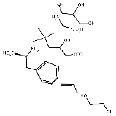 C=CC.C[N+](C)(C)CC(O)CC(=O)[O-].NCC(=O)O.N[C@@H](Cc1ccccc1)C(=O)O.OCC(O)CO.OCCO